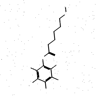 CNCCCCCC(=O)Oc1c(F)c(F)c(F)c(F)c1F